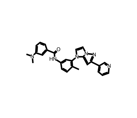 Cc1ccc(NC(=O)c2cccc(N(C)C)c2)cc1-n1ccn2nc(-c3cccnc3)cc12